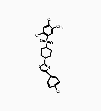 Cc1cc(S(=O)(=O)C2CCN(c3nc(-c4ccc(Cl)cc4)cs3)CC2)c(Cl)cc1Cl